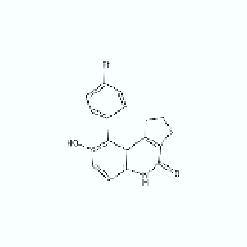 CCc1ccc(-c2c(O)ccc3[nH]c(=O)c4c(c23)CCS4)cc1